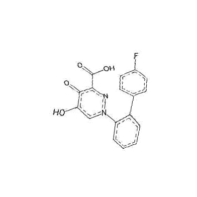 O=C(O)c1nn(-c2ccccc2-c2ccc(F)cc2)cc(O)c1=O